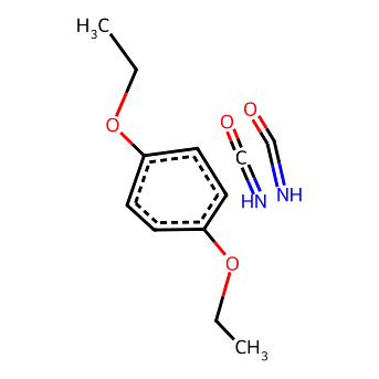 CCOc1ccc(OCC)cc1.N=C=O.N=C=O